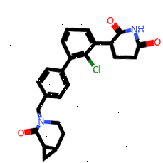 O=C1CCC(c2cccc(-c3ccc(CN4CCC5CC5C4=O)cc3)c2Cl)C(=O)N1